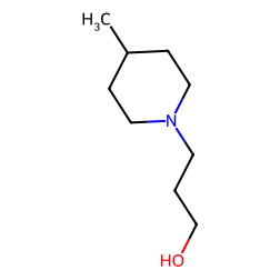 CC1CCN(CCCO)CC1